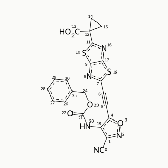 N#Cc1noc(C#Cc2nc3sc(C4(C(=O)O)CC4)nc3s2)c1NC(=O)OCc1ccccc1